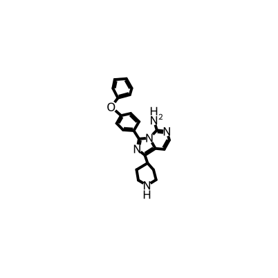 Nc1nccc2c(C3CCNCC3)nc(-c3ccc(Oc4ccccc4)cc3)n12